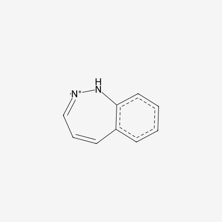 C1=Cc2ccccc2N[N+]=C1